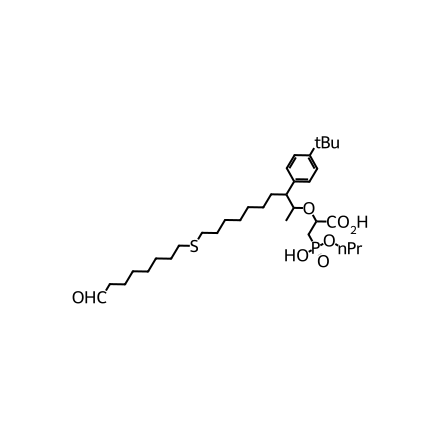 CCCOP(=O)(O)CC(OC(C)C(CCCCCCCSCCCCCCCC=O)c1ccc(C(C)(C)C)cc1)C(=O)O